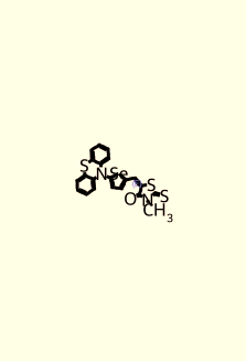 CN1C(=O)/C(=C\c2ccc(N3c4ccccc4Sc4ccccc43)[se]2)SC1=S